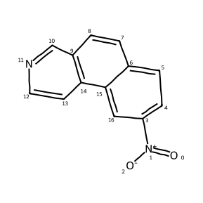 O=[N+]([O-])c1ccc2ccc3cnccc3c2c1